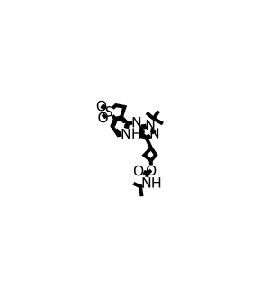 CC(C)NC(=O)OC1CC(c2cc(Nc3nccc4c3CCS4(=O)=O)n(C(C)(C)C)n2)C1